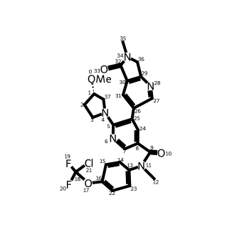 CO[C@H]1CCN(c2ncc(C(=O)N(C)c3ccc(OC(F)(F)Cl)cc3)cc2-c2cnc3c(c2)C(=O)N(C)C3)C1